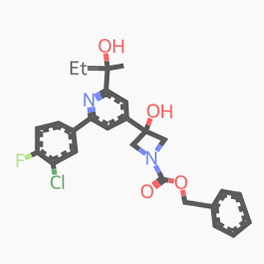 CCC(C)(O)c1cc(C2(O)CN(C(=O)OCc3ccccc3)C2)cc(-c2ccc(F)c(Cl)c2)n1